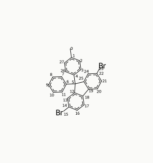 Cc1ccc(C2(c3cc[c]cc3)c3cc(Br)ccc3-c3ccc(Br)cc32)cc1